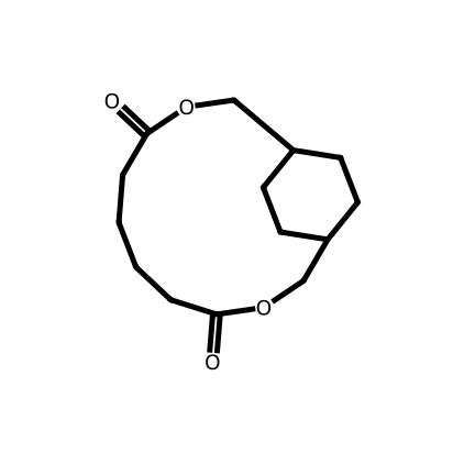 O=C1CCCCC(=O)OCC2CCC(CC2)CO1